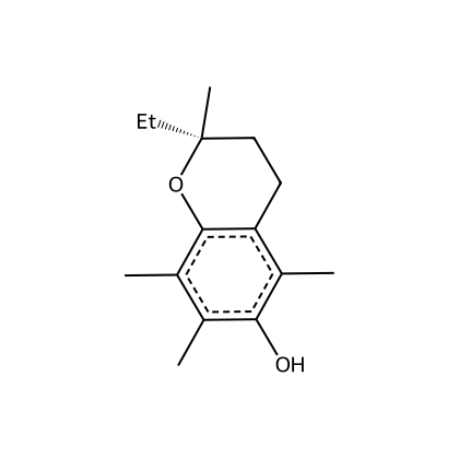 CC[C@]1(C)CCc2c(C)c(O)c(C)c(C)c2O1